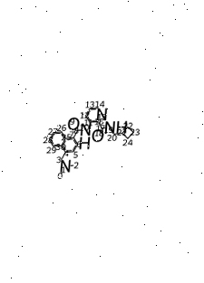 CN(C)Cc1ccc(C(=O)Nc2cccnc2C(=O)NCC2CCC2)c2ccccc12